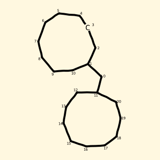 [CH](C1CCCCCCCCC1)C1CCCCCCCCC1